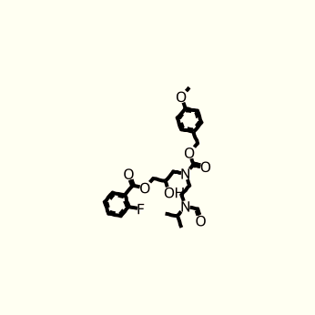 COc1ccc(COC(=O)N(CCN(C=O)C(C)C)CC(O)COC(=O)c2ccccc2F)cc1